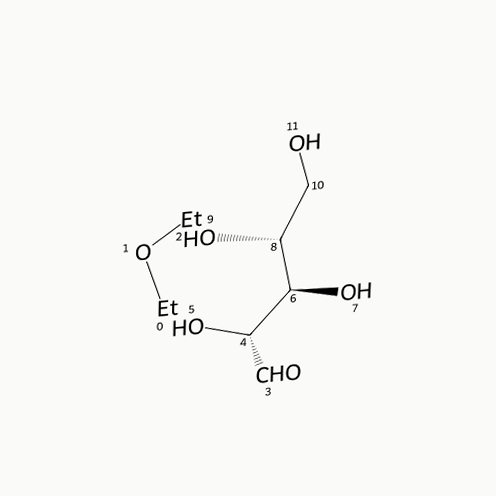 CCOCC.O=C[C@H](O)[C@H](O)[C@H](O)CO